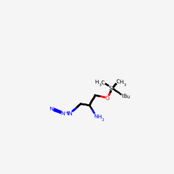 CC(C)(C)[Si](C)(C)OCC(N)CN=[N+]=[N-]